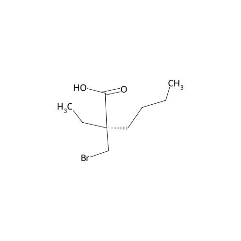 CCCC[C@@](CC)(CBr)C(=O)O